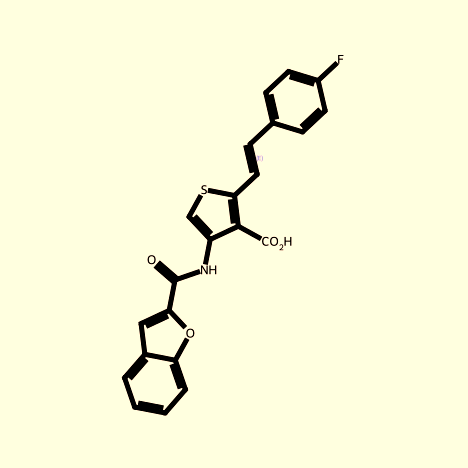 O=C(Nc1csc(/C=C/c2ccc(F)cc2)c1C(=O)O)c1cc2ccccc2o1